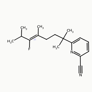 C/C(CCC(C)(C)c1cccc(C#N)n1)=C(/F)C(C)C